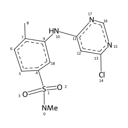 CNS(=O)(=O)c1ccc(C)c(Nc2cc(Cl)ncn2)c1